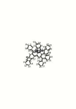 Cc1ccc(Nc2cc3sc4ccccc4c3cc2-c2cc(C(c3ccccc3)c3ccccc3)c3c4ccc5ccccc5c4n4c3c2Bc2cc(C)ccc2-4)cc1